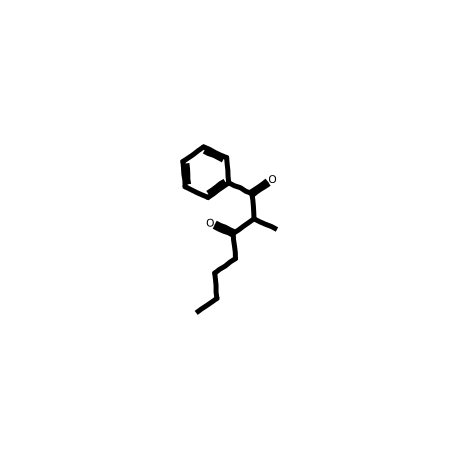 CCCCC(=O)C(C)C(=O)c1ccccc1